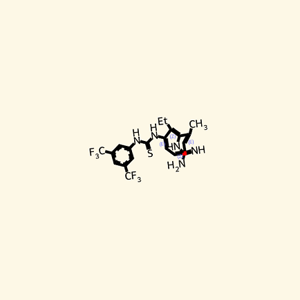 CCC1=C(NC(=N)N)\C(C)=C\C=C/C=C\1NC(=S)Nc1cc(C(F)(F)F)cc(C(F)(F)F)c1